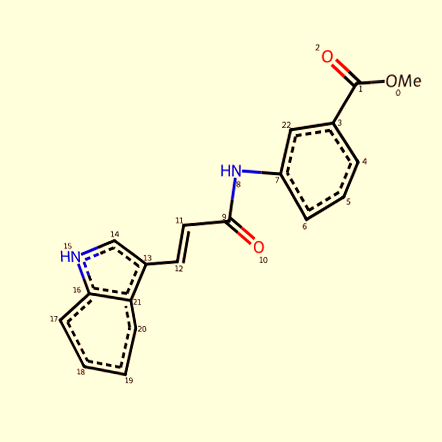 COC(=O)c1cccc(NC(=O)C=Cc2c[nH]c3ccccc23)c1